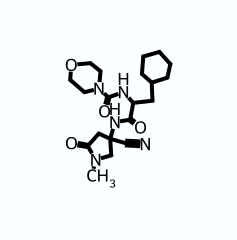 CN1CC(C#N)(NC(=O)C(CC2CCCCC2)NC(=O)N2CCOCC2)CC1=O